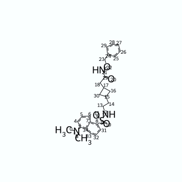 CN(C)c1cccc2c(S(=O)(=O)NCCC3CC(CC(=O)NOCc4ccccc4)C3)cccc12